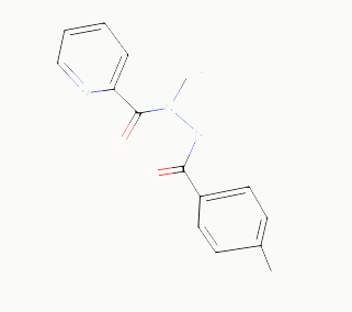 Cc1ccc(C(=O)NN(C(=O)c2ccccn2)C(C)(C)C)cc1